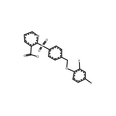 O=C(Cl)c1cccnc1S(=O)(=O)c1ccc(COc2ccc(F)cc2F)cc1